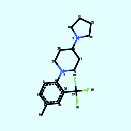 Cc1ccc(N2CCC(N3CCCC3)CC2)c(C(F)(F)F)c1